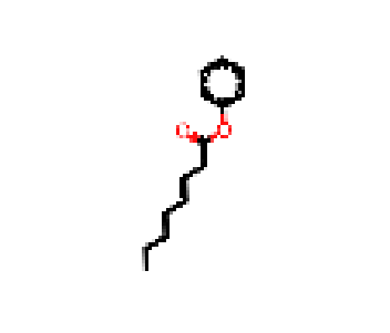 CCCCC=CCC(=O)Oc1ccccc1